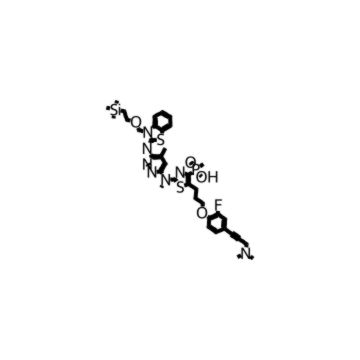 Cc1cc(N(C)c2nc(P(C)(=O)O)c(CCCOc3ccc(C#CCN(C)C)cc3F)s2)nnc1/N=c1\sc2ccccc2n1COCC[Si](C)(C)C